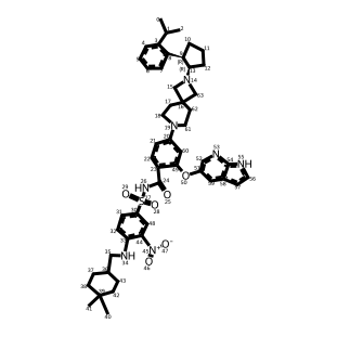 CC(C)c1ccccc1[C@H]1CCC[C@H]1N1CC2(CCN(c3ccc(C(=O)NS(=O)(=O)c4ccc(NCC5CCC(C)(C)CC5)c([N+](=O)[O-])c4)c(Oc4cnc5[nH]ccc5c4)c3)CC2)C1